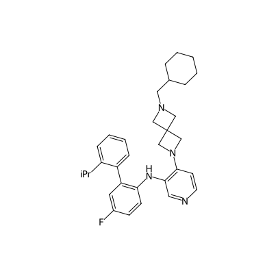 CC(C)c1ccccc1-c1cc(F)ccc1Nc1cnccc1N1CC2(CN(CC3CCCCC3)C2)C1